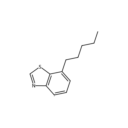 CCCCCc1cc[c]c2ncsc12